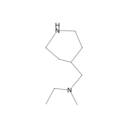 CCN(C)CC1CCNCC1